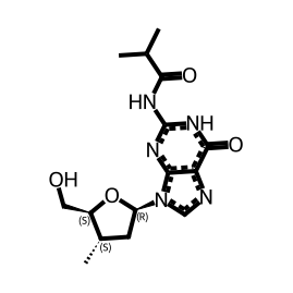 CC(C)C(=O)Nc1nc2c(ncn2[C@H]2C[C@H](C)[C@@H](CO)O2)c(=O)[nH]1